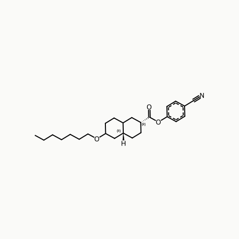 CCCCCCCOC1CCC2C[C@H](C(=O)Oc3ccc(C#N)cc3)CC[C@@H]2C1